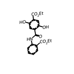 CCOC(=O)c1cc(O)c(C(=O)Nc2ccccc2C(=O)OCC)cc1O